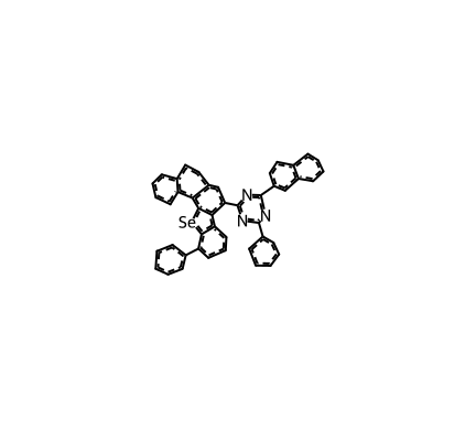 c1ccc(-c2nc(-c3ccc4ccccc4c3)nc(-c3cc4ccc5ccccc5c4c4[se]c5c(-c6ccccc6)cccc5c34)n2)cc1